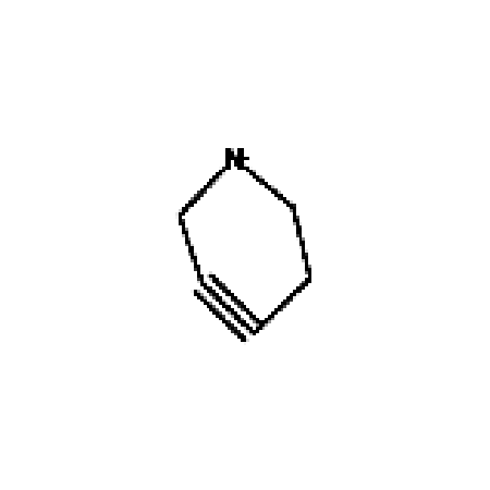 C1#CC[N]CC1